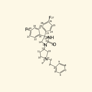 C[N+]1(CCc2ccccc2)CCC(N2CC(c3ccc(F)cc3)(c3ccc(F)cc3)NC2=O)C1